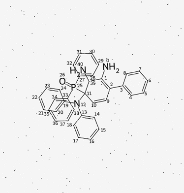 NC1=C(c2ccccc2)C=CC(N(c2ccccc2)c2ccccc2)(P(=O)(c2ccccc2)c2ccccc2)C1N